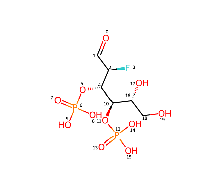 O=C[C@@H](F)[C@@H](OP(=O)(O)O)[C@H](OP(=O)(O)O)[C@H](O)CO